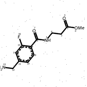 COC(=O)CCNC(=O)c1ccc(CN)cc1F